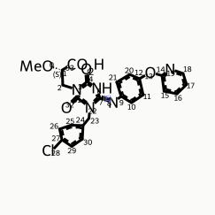 CO[C@@H](Cn1c(=O)[nH]/c(=N\c2ccc(Oc3ccccn3)cc2)n(Cc2ccc(Cl)cc2)c1=O)C(=O)O